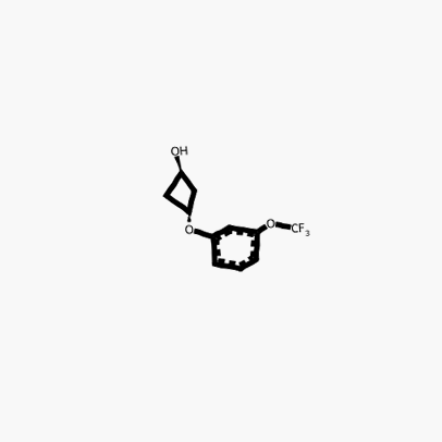 O[C@H]1C[C@H](Oc2cccc(OC(F)(F)F)c2)C1